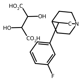 Fc1cccc(C2CN3CCC2CC3)c1.O=C(O)C(O)C(O)C(=O)O